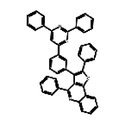 c1ccc(-c2cc(-c3cccc(-c4c(-c5ccccc5)oc5c4c(-c4ccccc4)nc4ccccc45)c3)nc(-c3ccccc3)n2)cc1